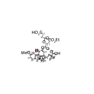 CCOC(=O)CC(OC(=O)CCC(=O)O)C(=O)OC1=CC[C@@]2(O)[C@H]3Cc4ccc(OC)c5c4[C@@]2(CCN3C)[C@H]1O5.O=C(O)C(F)(F)F